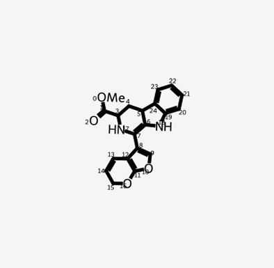 COC(=O)C1CC2C(=C(c3coc4c3C=CCO4)N1)Nc1ccccc12